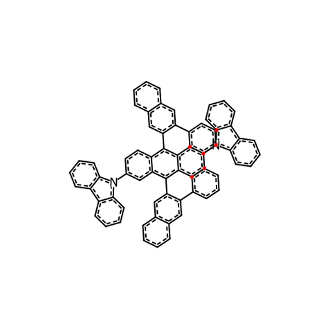 c1ccc(-c2cc3ccccc3cc2-c2c3ccc(-n4c5ccccc5c5ccccc54)cc3c(-c3cc4ccccc4cc3-c3ccccc3)c3ccc(-n4c5ccccc5c5ccccc54)cc23)cc1